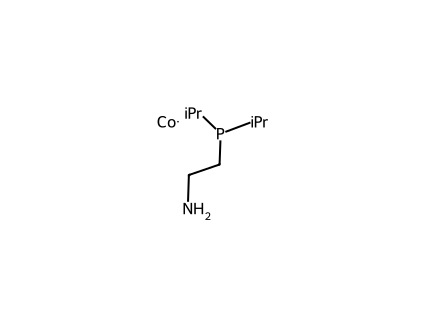 CC(C)P(CCN)C(C)C.[Co]